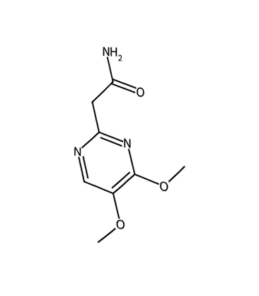 COc1cnc(CC(N)=O)nc1OC